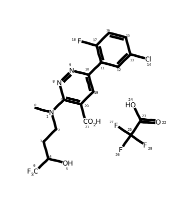 CN(CCC(O)C(F)(F)F)c1nnc(-c2cc(Cl)ccc2F)cc1C(=O)O.O=C(O)C(F)(F)F